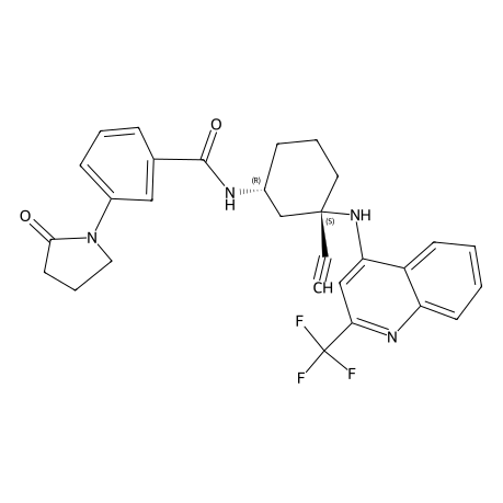 C#C[C@]1(Nc2cc(C(F)(F)F)nc3ccccc23)CCC[C@@H](NC(=O)c2cccc(N3CCCC3=O)c2)C1